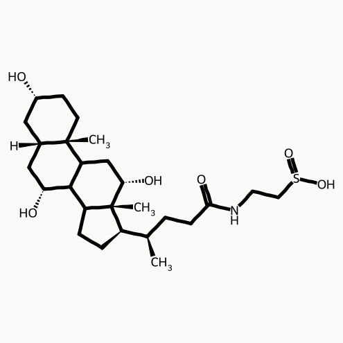 C[C@H](CCC(=O)NCCS(=O)O)[C@H]1CCC2C3C(C[C@H](O)[C@@]21C)[C@@]1(C)CC[C@@H](O)C[C@H]1C[C@H]3O